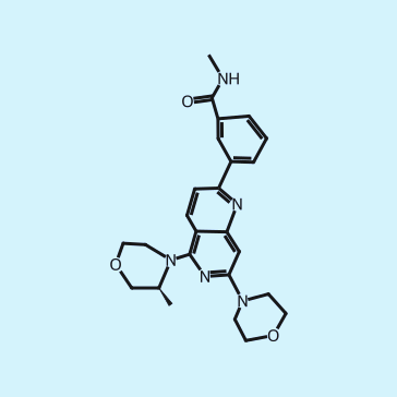 CNC(=O)c1cccc(-c2ccc3c(N4CCOC[C@@H]4C)nc(N4CCOCC4)cc3n2)c1